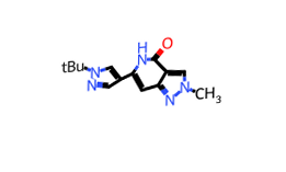 Cn1cc2c(=O)[nH]c(-c3cnn(C(C)(C)C)c3)cc2n1